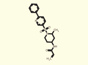 C=CC(=O)NC1CCN(S(=O)(=O)c2ccc(-c3ccccc3)nc2)C(C)C1